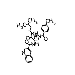 Cc1ccc(C(=O)NC[C@H](NC(=O)c2cnc3ccccc3c2)C(=O)N[CH]CC(C)C)cc1